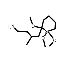 COC1(CC(C)CCN)CCCC[Si]1(OC)OC